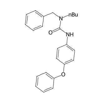 CCCCN(Cc1ccccc1)C(=O)Nc1ccc(Oc2ccccc2)cc1